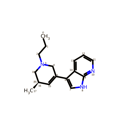 CCCN1CC(c2c[nH]c3ncccc23)=C[C@@H](C)C1